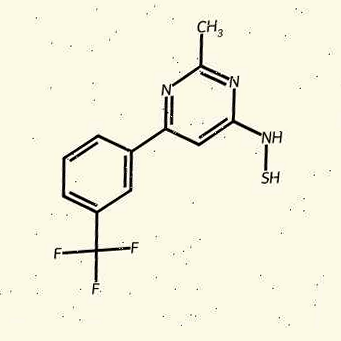 Cc1nc(NS)cc(-c2cccc(C(F)(F)F)c2)n1